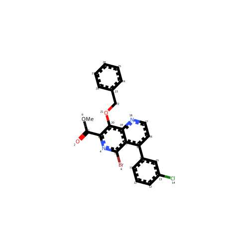 COC(=O)c1nc(Br)c2c(-c3cccc(Cl)c3)ccnc2c1OCc1ccccc1